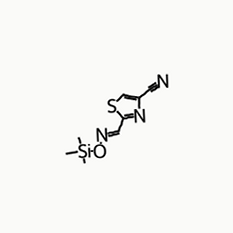 C[Si](C)(C)O/N=C/c1nc(C#N)cs1